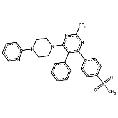 CS(=O)(=O)c1ccc(-c2nc(C(F)(F)F)nc(N3CCN(c4ccccn4)CC3)c2-c2ccccc2)cc1